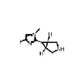 Cn1cc(I)nc1[C@H]1[C@@H]2CNC[C@@H]21